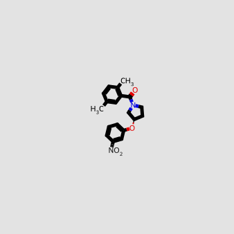 Cc1ccc(C)c(C(=O)N2CC[C@H](Oc3cccc([N+](=O)[O-])c3)C2)c1